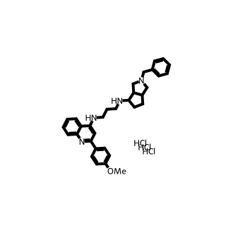 COc1ccc(-c2cc(NCCCNC3CCC4CN(Cc5ccccc5)CC43)c3ccccc3n2)cc1.Cl.Cl.Cl